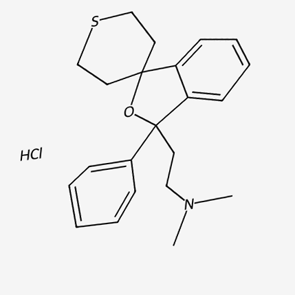 CN(C)CCC1(c2ccccc2)OC2(CCSCC2)c2ccccc21.Cl